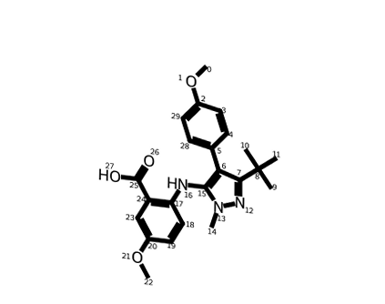 COc1ccc(-c2c(C(C)(C)C)nn(C)c2Nc2ccc(OC)cc2C(=O)O)cc1